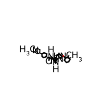 Cc1ccccc1Nc1ccc2c(NC(=O)c3ccc(C4CCN(C)CC4)cc3)n[nH]c2n1